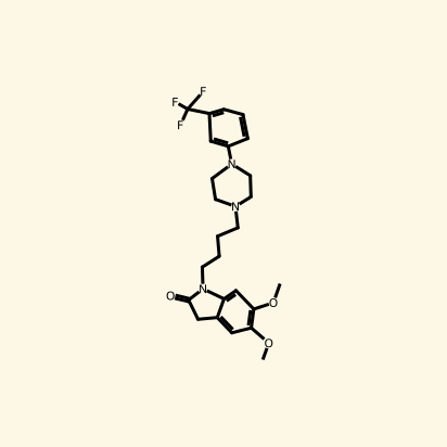 COc1cc2c(cc1OC)N(CCCCN1CCN(c3cccc(C(F)(F)F)c3)CC1)C(=O)C2